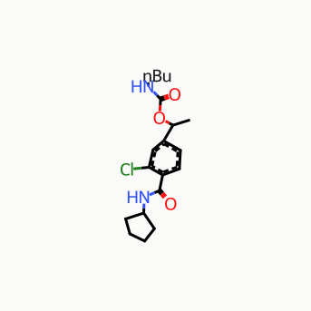 CCCCNC(=O)OC(C)c1ccc(C(=O)NC2CCCC2)c(Cl)c1